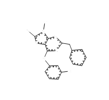 CCn1c(N)nc2c(Nc3cccc(Cl)c3)nc(Cc3ccccc3)nc21